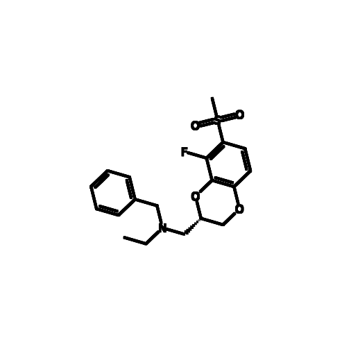 CCN(Cc1ccccc1)C[C@H]1COc2ccc(S(C)(=O)=O)c(F)c2O1